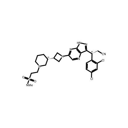 CNS(=O)(=O)CCN1CCC[C@H](C2CN(c3cnc4c([C@H](CC#N)c5ccc(Cl)cc5Cl)n[nH]c4n3)C2)C1